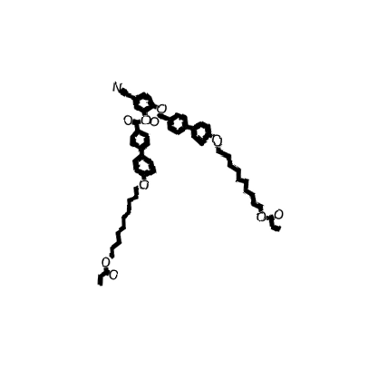 C=CC(=O)OCCCCCCCCCCOc1ccc(-c2ccc(C(=O)Oc3ccc(C#N)cc3OC(=O)c3ccc(-c4ccc(OCCCCCCCCCCOC(=O)C=C)cc4)cc3)cc2)cc1